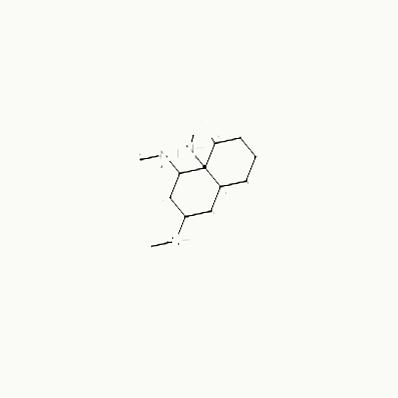 CNC1CC2CCCC(O)C2(NC)C(NC)C1